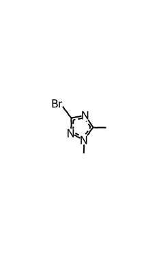 Cc1nc(Br)nn1C